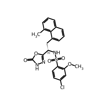 COc1cc(Cl)ccc1S(=O)(=O)N[C@@H](Cc1cccc2cccc(C)c12)c1n[nH]c(=O)o1